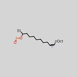 CCCCCCCC/C=C\CCCCCCCC(CC)OP=O